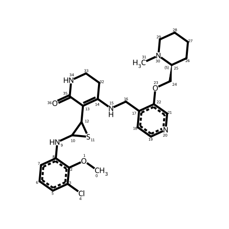 COc1c(Cl)cccc1NC1SC1C1=C(NCc2ccncc2OC[C@@H]2CCCCN2C)CCNC1=O